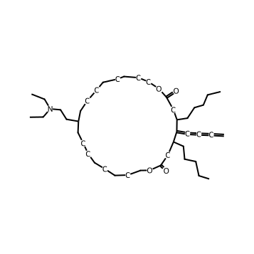 C=C=C=C=C1C(CCCCC)CC(=O)OCCCCCCCCC(CCN(CC)CC)CCCCCCCCOC(=O)CC1CCCCC